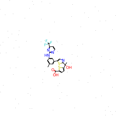 Cc1cc(Nc2nccc(C(F)(F)F)n2)cc(-c2cnc(C(C)(O)c3ccc(C(=O)O)s3)s2)c1